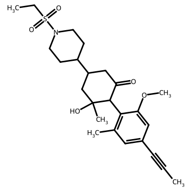 CC#Cc1cc(C)c(C2C(=O)CC(C3CCN(S(=O)(=O)CC)CC3)CC2(C)O)c(OC)c1